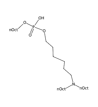 CCCCCCCCOP(=O)(O)OCCCCCCN(CCCCCCCC)CCCCCCCC